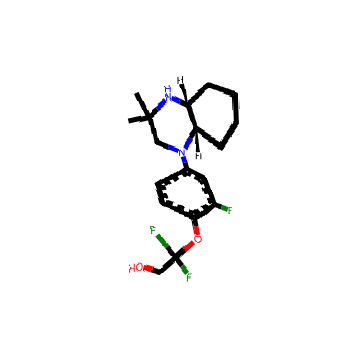 CC1(C)CN(c2ccc(OC(F)(F)CO)c(F)c2)[C@H]2CCCC[C@H]2N1